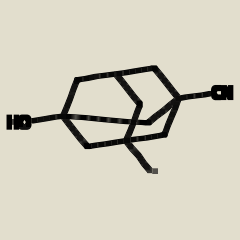 [CH2]C12CC3CC(O)(C1)CC(C#N)(C3)C2